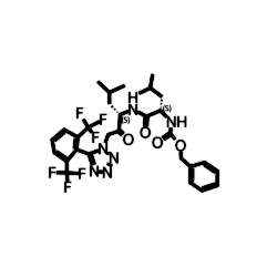 CC(C)C[C@H](NC(=O)[C@H](CC(C)C)NC(=O)OCc1ccccc1)C(=O)Cn1nnnc1-c1c(C(F)(F)F)cccc1C(F)(F)F